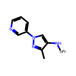 CCCNc1cn(-c2cccnc2)nc1C